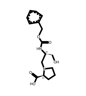 O=C(N[C@H](CO)CN1CCC[C@H]1C(=O)O)OCc1ccccc1